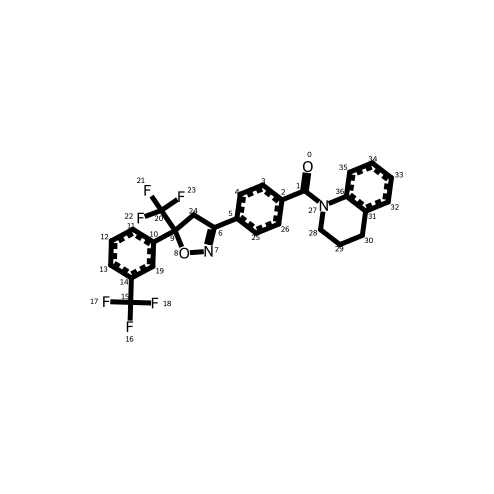 O=C(c1ccc(C2=NOC(c3cccc(C(F)(F)F)c3)(C(F)(F)F)C2)cc1)N1CCCc2ccccc21